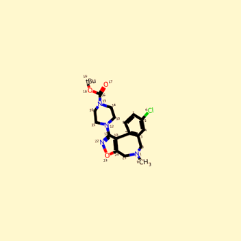 CN1Cc2cc(Cl)ccc2-c2c(N3CCN(C(=O)OC(C)(C)C)CC3)noc2C1